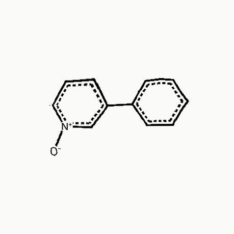 [O-][n+]1[c]ccc(-c2ccccc2)c1